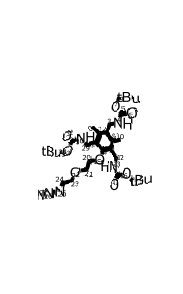 Cc1c(CNC(=O)OC(C)(C)C)c(C)c(CNC(=O)OC(C)(C)C)c(OCCOCCN=[N+]=[N-])c1CNC(=O)OC(C)(C)C